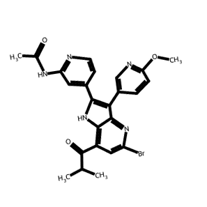 COc1ccc(-c2c(-c3ccnc(NC(C)=O)c3)[nH]c3c(C(=O)C(C)C)cc(Br)nc23)cn1